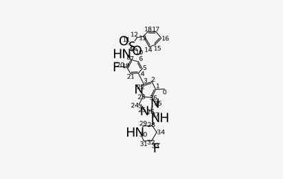 Cc1cc(-c2ccc(NS(=O)(=O)Cc3ccccc3)c(F)c2)nc2cnc(N[C@@H]3CNC[C@@H](F)C3)nc12